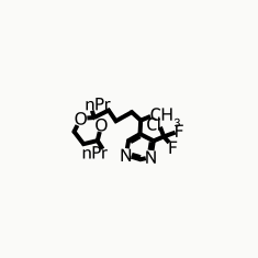 CCCC1CCOC(CCC)(CCCC(C)c2cncnc2C(F)(F)Cl)O1